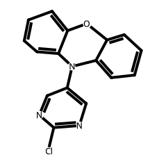 Clc1ncc(N2c3ccccc3Oc3ccccc32)cn1